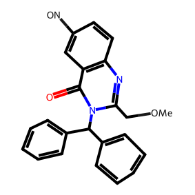 COCc1nc2ccc(N=O)cc2c(=O)n1C(c1ccccc1)c1ccccc1